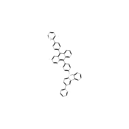 c1ccc(-c2ccc3c(c2)c2ccccc2n3-c2ccc(-c3c4ccccc4c(-c4ccc(-c5ccccn5)cc4)c4ccccc34)cc2)cc1